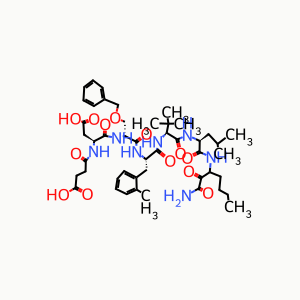 CCCCC(NC(=O)[C@H](CC(C)C)NC(=O)[C@@H](NC(=O)[C@H](Cc1ccccc1C)NC(=O)[C@@H](COCc1ccccc1)NC(=O)[C@H](CC(=O)O)NC(=O)CCC(=O)O)C(C)(C)C)C(=O)C(N)=O